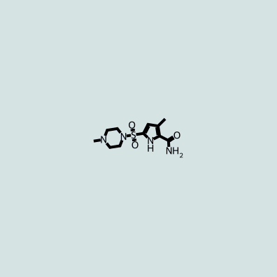 Cc1cc(S(=O)(=O)N2CCN(C)CC2)[nH]c1C(N)=O